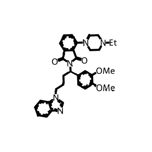 CCN1CCN(c2cccc3c2C(=O)N(C(CCCn2cnc4ccccc42)c2ccc(OC)c(OC)c2)C3=O)CC1